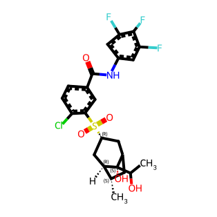 CC(O)[C@]1(O)C2C[C@@H](S(=O)(=O)c3cc(C(=O)Nc4cc(F)c(F)c(F)c4)ccc3Cl)C[C@@H]1[C@@H](C)C2